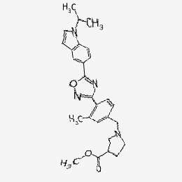 COC(=O)C1CCN(Cc2ccc(-c3noc(-c4ccc5c(ccn5C(C)C)c4)n3)c(C)c2)C1